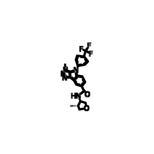 C[C@H]1COC[C@@H]1NC(=O)c1ccc2c(c1)c1nnn(C)c1n2-c1ccc(C(F)(F)F)cc1